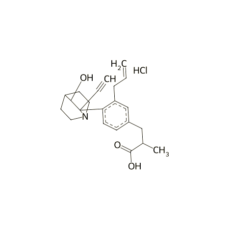 C#CC1(c2ccc(CC(C)C(=O)O)cc2CC=C)C(O)C2CCN1CC2.Cl